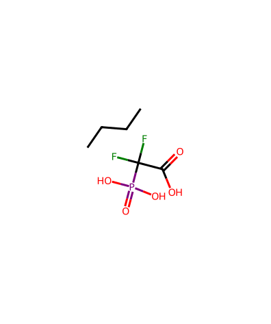 CCCC.O=C(O)C(F)(F)P(=O)(O)O